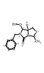 CCOC1[C@@H]2CSC(C)N2C(=O)N1Cc1ccccc1